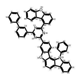 c1ccc(-c2cccc(-c3nc(-c4ccc5c(c4)oc4ccc6c7ccccc7n(-c7ccccc7)c6c45)nc(-c4cccc5oc6ccccc6c45)n3)c2)cc1